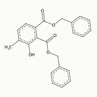 Cc1ccc(C(=O)OCc2ccccc2)c(C(=O)OCc2ccccc2)c1O